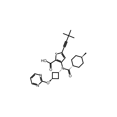 CC(C)(C)C#Cc1cc(N(C(=O)[C@H]2CC[C@H](C)CC2)[C@H]2C[C@H](Oc3ncccn3)C2)c(C(=O)O)s1